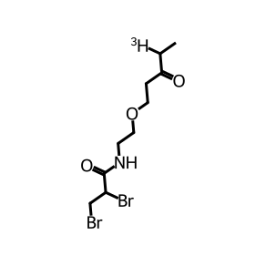 [3H]C(C)C(=O)CCOCCNC(=O)C(Br)CBr